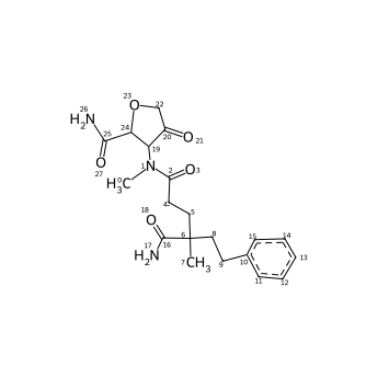 CN(C(=O)[CH]CC(C)(CCc1ccccc1)C(N)=O)C1C(=O)COC1C(N)=O